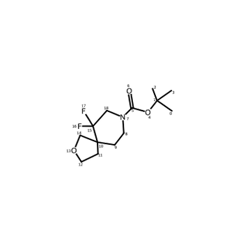 CC(C)(C)OC(=O)N1CCC2(CCOC2)C(F)(F)C1